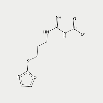 N=C(NCCCSc1ncco1)N[N+](=O)[O-]